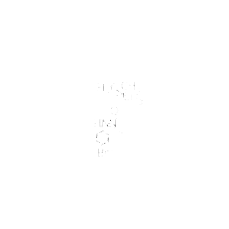 C[Si](C)(C)CCOCN1Nc2ccc(Br)cc2C1I